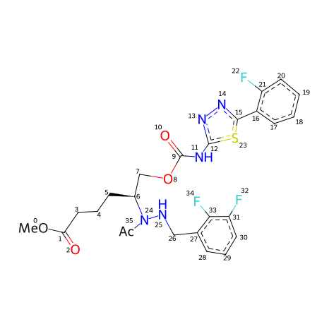 COC(=O)CCC[C@@H](COC(=O)Nc1nnc(-c2ccccc2F)s1)N(NCc1cccc(F)c1F)C(C)=O